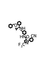 N#Cc1cccc(-n2nc(C(F)(F)F)cc2C(=O)Nc2cccc(CNC(c3ccccc3OCc3ccccc3)C3CC3)c2)c1